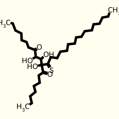 CCCCCCCCCCCCCCCC(=S)C(O)(C(=O)CCCCCCC)C(O)C(O)C(=O)CCCCCCC